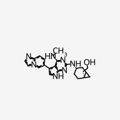 CNc1nc(N[C@H]2CC[C@]3(CCO)CC3C2)nc2[nH]cc(-c3ccc4nccn4c3)c12